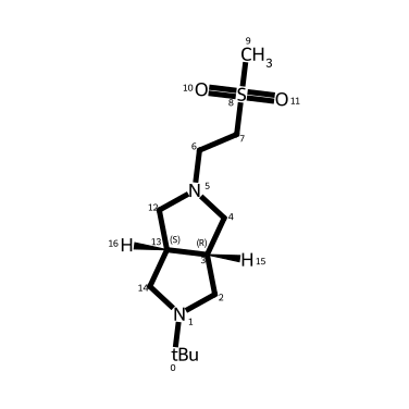 CC(C)(C)N1C[C@H]2CN(CCS(C)(=O)=O)C[C@H]2C1